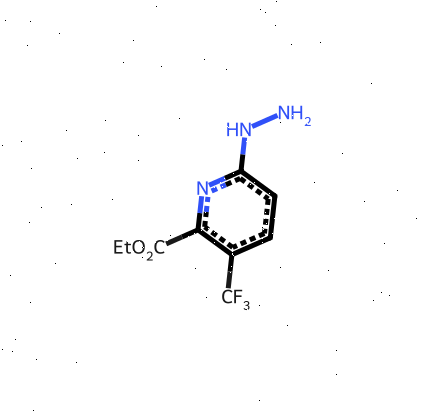 CCOC(=O)c1nc(NN)ccc1C(F)(F)F